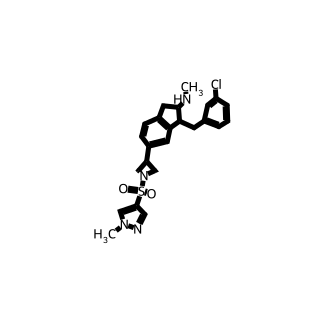 CNC1Cc2ccc(C3CN(S(=O)(=O)c4cnn(C)c4)C3)cc2C1Cc1cccc(Cl)c1